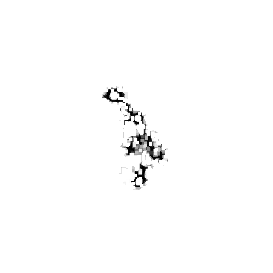 CNC(=O)[C@H](Cc1c[nH]c2c(Br)cccc12)NC(=O)NC(=O)[C@H](Cc1ccc(OCc2ccccc2)c(I)c1)NC(=O)OC(C)(C)C